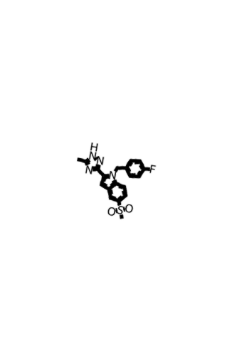 Cc1nc(-c2cc3cc(S(C)(=O)=O)ccc3n2Cc2ccc(F)cc2)n[nH]1